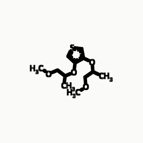 COCC(C)Oc1cscc1OC(C)COC